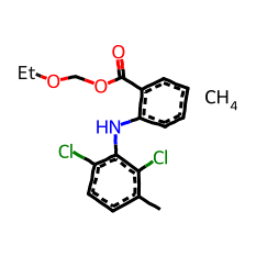 C.CCOCOC(=O)c1ccccc1Nc1c(Cl)ccc(C)c1Cl